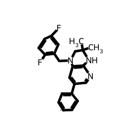 CC1(C)CN(Cc2cc(F)ccc2F)c2cc(-c3cc[c]cc3)cnc2N1